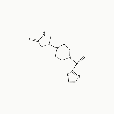 O=C1CC(N2CCN(C(=O)c3nccs3)CC2)CN1